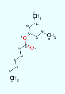 CCCCCCC(=O)OC(CCC)CCC